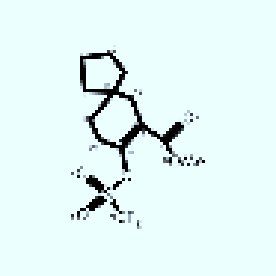 COC(=O)C1=C(OS(=O)(=O)C(F)(F)F)CCC2(CCCC2)C1